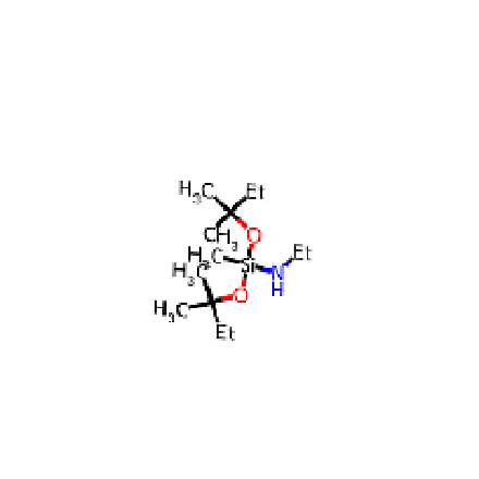 CCN[Si](C)(OC(C)(C)CC)OC(C)(C)CC